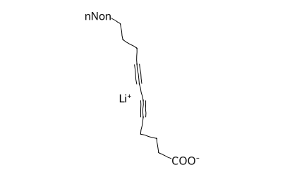 CCCCCCCCCCCCC#CC#CCCCC(=O)[O-].[Li+]